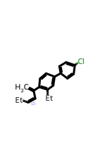 C=C(/C=C\CC)c1ccc(-c2ccc(Cl)cc2)cc1CC